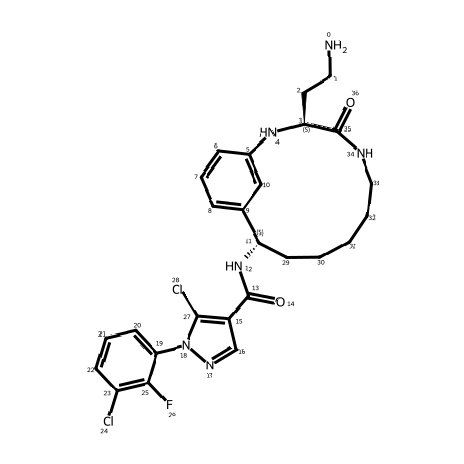 NCC[C@@H]1Nc2cccc(c2)[C@@H](NC(=O)c2cnn(-c3cccc(Cl)c3F)c2Cl)CCCCCNC1=O